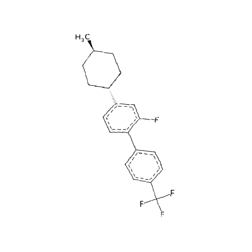 C[C@H]1CC[C@H](c2ccc(-c3ccc(C(F)(F)F)cc3)c(F)c2)CC1